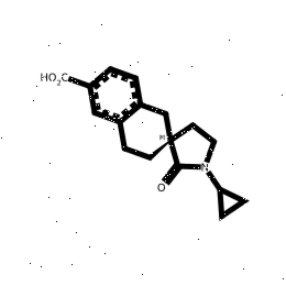 O=C(O)c1ccc2c(c1)CC[C@]1(CCN(C3CC3)C1=O)C2